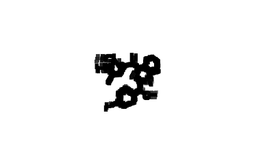 Cc1cc(Nc2nc([C@H](O)c3ccc(F)cc3)nc3ccccc23)n[nH]1.Cl